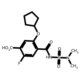 CN(C)S(=O)(=O)NC(=O)c1cc(F)c(C(=O)O)cc1OC1CCCC1